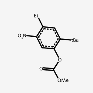 CCc1cc(C(C)(C)C)c(OC(=O)OC)cc1[N+](=O)[O-]